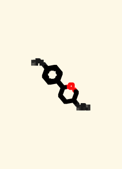 CCCCC1CCC(c2ccc(CCC)cc2)OC1